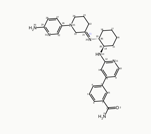 NC(=O)c1cccc(-c2ccnc(N[C@@H]3CCCC[C@H]3/N=C3\CCCN(c4ccc(N)nc4)C3)c2)c1